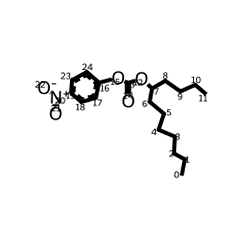 CCCCCCCC(CCCC)OC(=O)Oc1ccc([N+](=O)[O-])cc1